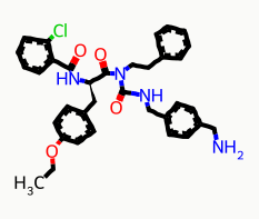 CCOc1ccc(C[C@@H](NC(=O)c2ccccc2Cl)C(=O)N(CCc2ccccc2)C(=O)NCc2ccc(CN)cc2)cc1